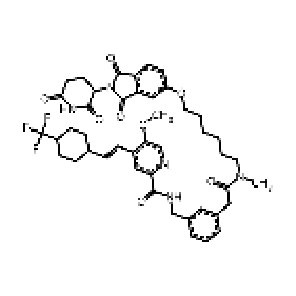 COc1cnc(C(=O)NCc2cccc(CC(=O)N(C)CCCCCCOc3ccc4c(c3)C(=O)N(C3CCC(=O)NC3=O)C4=O)c2)cc1/C=C/C1CCC(C(F)(F)F)CC1